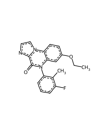 CCOc1ccc2c(c1)n(-c1cccc(F)c1C)c(=O)c1nccn12